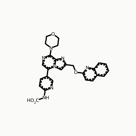 O=C(O)Nc1ccc(-c2cnc(N3CCOCC3)c3nc(COc4ccc5ccccc5n4)cn23)cn1